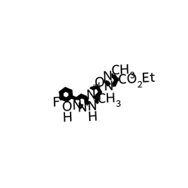 CCOC(=O)c1cnc(O[C@H]2CN3c4cc(-c5cccc(F)c5O)nnc4NC[C@@]3(C)C2)nc1C